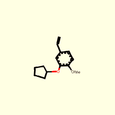 C=Cc1ccc(OC)c(OC2CCCC2)c1